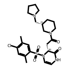 Cc1cc(S(=O)(=O)N2C=CNC(=O)[C@H]2CC(=O)N2CCC[C@@H](CN3CCCC3)C2)c(C)cc1Cl